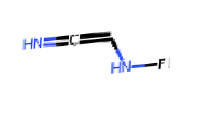 CCNC=C=N